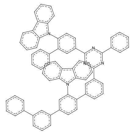 c1ccc(-c2cccc(-c3ccc(-c4cccc(-c5nc(-c6ccccc6)nc(-c6ccc(-n7c8ccccc8c8ccccc87)c(-c7ccccc7)c6)n5)c4)c(-n4c5ccccc5c5ccccc54)c3)c2)cc1